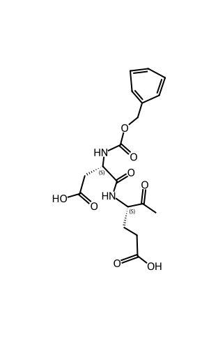 CC(=O)[C@H](CCC(=O)O)NC(=O)[C@H](CC(=O)O)NC(=O)OCc1ccccc1